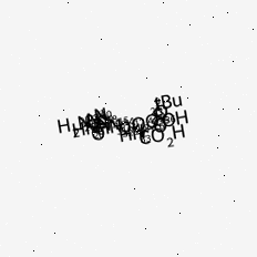 CC(C)(C)C1CC(OC(=O)CCC(NC(=O)c2ccc(NCc3cnc4nc(N)[nH]c(=O)c4n3)cc2)C(=O)O)C(CO)O1